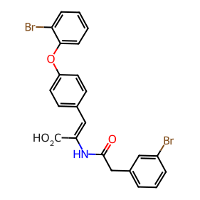 O=C(Cc1cccc(Br)c1)NC(=Cc1ccc(Oc2ccccc2Br)cc1)C(=O)O